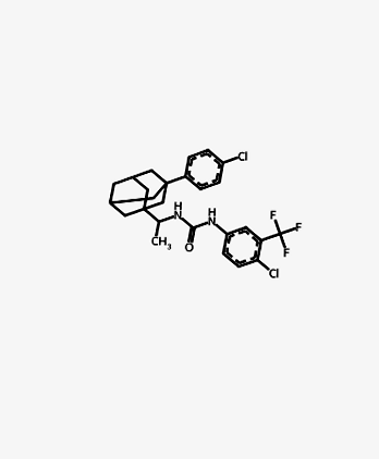 CC(NC(=O)Nc1ccc(Cl)c(C(F)(F)F)c1)C12CC3CC(CC(c4ccc(Cl)cc4)(C3)C1)C2